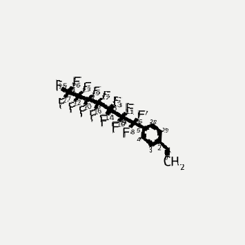 C=Cc1ccc(C(F)(F)C(F)(F)C(F)(F)C(F)(F)C(F)(F)C(F)(F)C(F)(F)F)cc1